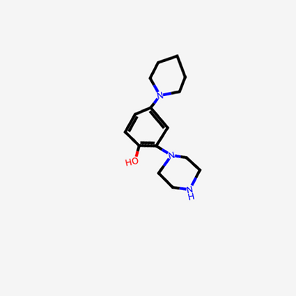 Oc1ccc(N2CCCCC2)cc1N1CCNCC1